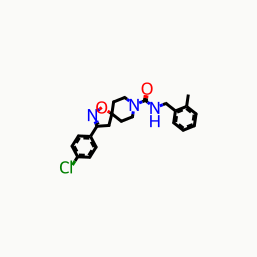 Cc1ccccc1CNC(=O)N1CCC2(CC1)CC(c1ccc(Cl)cc1)=NO2